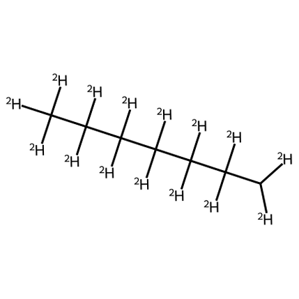 [2H]C([2H])C([2H])([2H])C([2H])([2H])C([2H])([2H])C([2H])([2H])C([2H])([2H])C([2H])([2H])[2H]